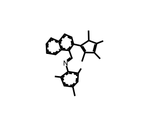 CC1=C(C)C(C)C(c2ccc3ccccc3c2C=Nc2c(C)cc(C)cc2C)=C1C